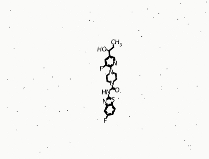 CC[C@H](O)c1cnc(N2CCN(C(=O)Nc3nc4cc(F)ccc4s3)CC2)c(F)c1